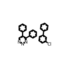 Clc1cccc(-c2ccccc2)c1.c1ccc(-c2cnnnc2-c2ccccc2)cc1